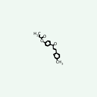 C=CC(=O)Oc1ccc(C(=O)C=Cc2ccc(C)cc2)cc1